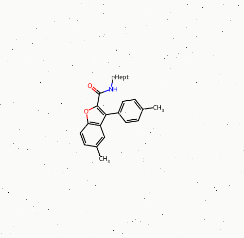 CCCCCCCNC(=O)c1oc2ccc(C)cc2c1-c1ccc(C)cc1